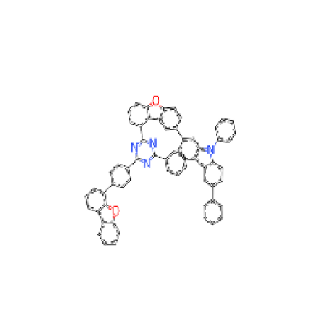 c1ccc(-c2ccc3c(c2)c2ccc(-c4ccc5oc6cccc(-c7nc(-c8ccccc8)nc(-c8ccc(-c9cccc%10c9oc9ccccc9%10)cc8)n7)c6c5c4)cc2n3-c2ccccc2)cc1